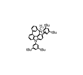 CC(C)(C)c1cc(-c2ccc3c4c2C(C)(C)c2cccc(c2)-c2cccc(c24)n3-c2cc(C(C)(C)C)cc(C(C)(C)C)c2)cc(C(C)(C)C)c1